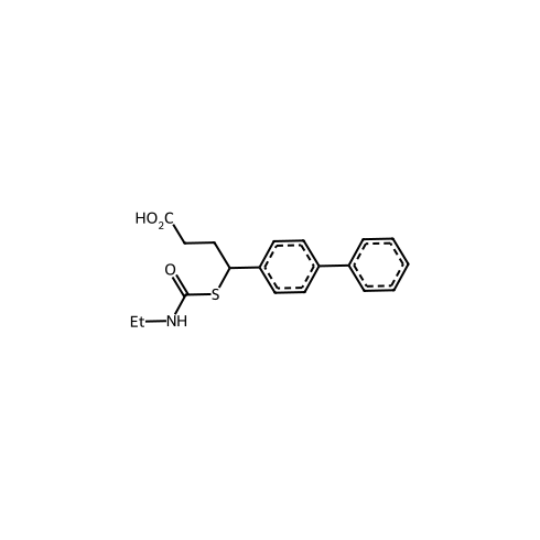 CCNC(=O)SC(CCC(=O)O)c1ccc(-c2ccccc2)cc1